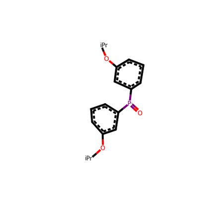 CC(C)Oc1cccc([P](=O)c2cccc(OC(C)C)c2)c1